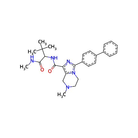 CNC(=O)C(NC(=O)c1nc(-c2ccc(-c3ccccc3)cc2)n2c1CN(C)CC2)C(C)(C)C